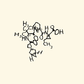 CCC1C[C@]1(NC(=O)[C@@H]1CCCN1C(=O)[C@@H](NC(=O)O[C@@H]1C[C@@H]2C[C@@H]2C1)C(C)(C)C)C(=O)O